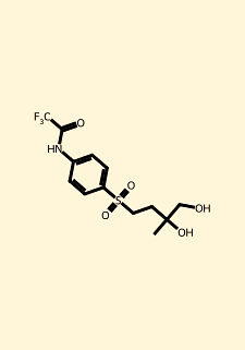 CC(O)(CO)CCS(=O)(=O)c1ccc(NC(=O)C(F)(F)F)cc1